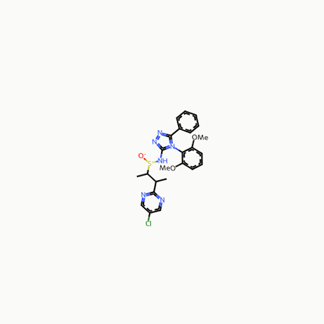 COc1cccc(OC)c1-n1c(N[S+]([O-])C(C)C(C)c2ncc(Cl)cn2)nnc1-c1ccccc1